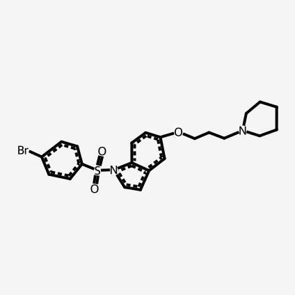 O=S(=O)(c1ccc(Br)cc1)n1ccc2cc(OCCCN3CCCCC3)ccc21